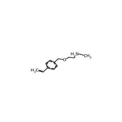 C=Cc1ccc(COCC[SiH2]C)cc1